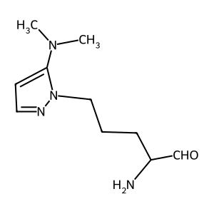 CN(C)c1ccnn1CCCC(N)C=O